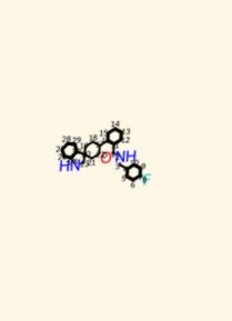 O=C(NCc1ccc(F)cc1)c1ccccc1C1CCC2(CC1)CNc1ccccc12